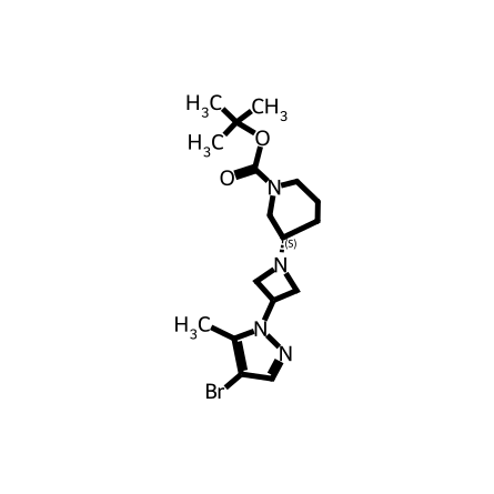 Cc1c(Br)cnn1C1CN([C@H]2CCCN(C(=O)OC(C)(C)C)C2)C1